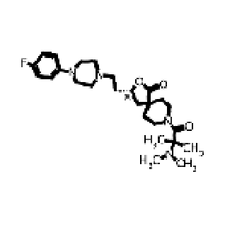 CN(C)C(C)(C)C(=O)N1CCC2(CC1)C[C@H](CCN1CCN(c3ccc(F)cc3)CC1)OC2=O